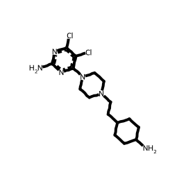 Nc1nc(Cl)c(Cl)c(N2CCN(CCC3CCC(N)CC3)CC2)n1